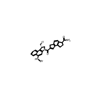 CC(C)Nc1cc2c(c3ccccc13)[C@H](CCl)CN2C(=O)C1=Cc2c(ccc3c2CCC3C(N)=O)C1